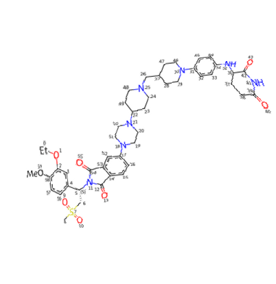 CCOc1cc([C@@H](CS(C)(=O)=O)N2C(=O)c3ccc(N4CCN(C5CCN(CC6CCN(c7ccc(NC8CCC(=O)NC8=O)cc7)CC6)CC5)CC4)cc3C2=O)ccc1OC